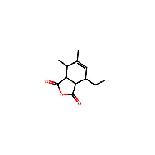 CC1=CC(CC(C)C)C2C(=O)OC(=O)C2C1C